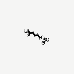 CC(C)CCCCO[S-](=O)=O.[Li+]